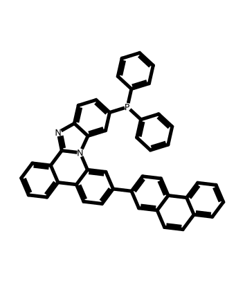 c1ccc(P(c2ccccc2)c2ccc3nc4c5ccccc5c5ccc(-c6ccc7c(ccc8ccccc87)c6)cc5n4c3c2)cc1